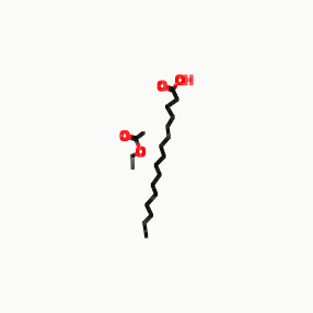 CCCCCCCCCCCCCCCC(=O)O.CCOC(C)=O